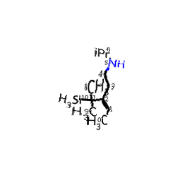 CC=C(CCNC(C)C)C(C)(C)[SiH3]